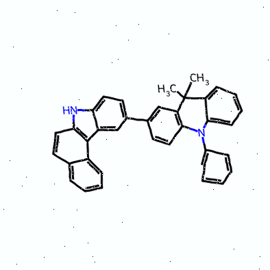 CC1(C)c2ccccc2N(c2ccccc2)c2ccc(-c3ccc4[nH]c5ccc6ccccc6c5c4c3)cc21